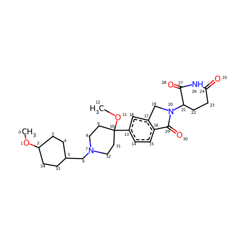 COC1CCC(CN2CCC(OC)(c3ccc4c(c3)CN(C3CCC(=O)NC3=O)C4=O)CC2)CC1